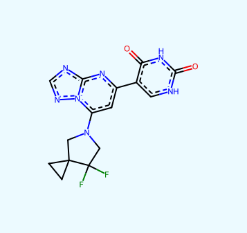 O=c1[nH]cc(-c2cc(N3CC(F)(F)C4(CC4)C3)n3ncnc3n2)c(=O)[nH]1